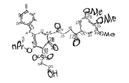 CCCOC1=C(Cc2ccccc2)C=C(C(=O)CCC(=O)c2cc(OC)c(OC)c(OC)c2)C(=O)C1S(=O)(=O)CCO